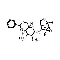 CC1[C@H](O[C@@H]2C3CO[C@H](O3)C3O[C@@H]32)O[C@H]2COC(c3ccccc3)O[C@H]2[C@@H]1C